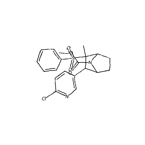 COC(=O)N1C2CCC1C(C)(S(=O)(=O)c1ccccc1)C2c1ccc(Cl)nc1